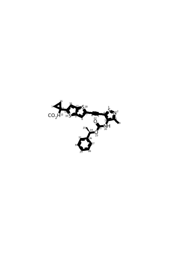 Cc1nsc(C#Cc2cc3sc(C4(C(=O)O)CC4)cc3s2)c1NC(=O)O[C@H](C)c1ccccc1